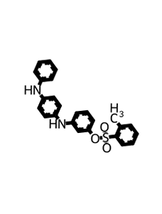 Cc1ccccc1S(=O)(=O)Oc1cccc(Nc2ccc(Nc3ccccc3)cc2)c1